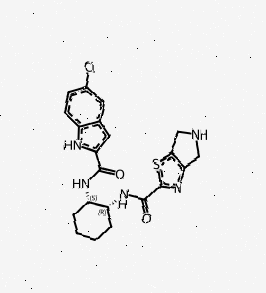 O=C(N[C@H]1CCCC[C@H]1NC(=O)c1nc2c(s1)CNC2)c1cc2cc(Cl)ccc2[nH]1